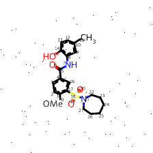 COc1ccc(C(=O)Nc2cc(C)ccc2O)cc1S(=O)(=O)N1CCCCCC1